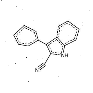 N#Cc1[nH]c2ccccc2c1-c1ccccc1